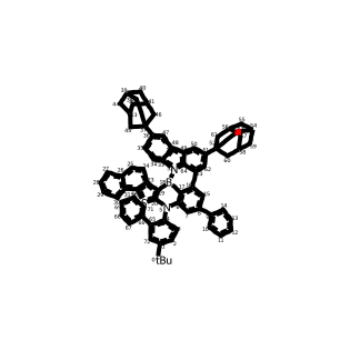 CC(C)(C)c1ccc(N2c3cc(-c4ccccc4)cc4c3B(c3c2sc2c3ccc3ccccc32)n2c3ccc(C56CC7CC(CC(C7)C5)C6)cc3c3cc(C56CC7CC(CC(C7)C5)C6)cc-4c32)c(-c2ccccc2)c1